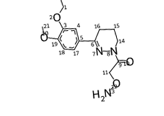 CCOc1cc(C2=NN(C(=O)CON)CCC2)ccc1OC